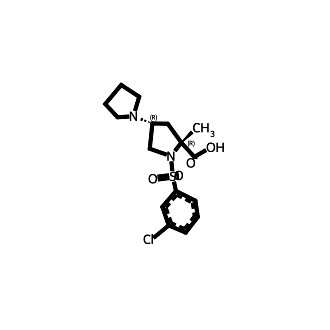 C[C@]1(C(=O)O)C[C@@H](N2CCCC2)CN1S(=O)(=O)c1cccc(Cl)c1